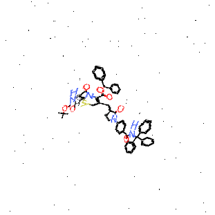 CC(C)(C)OC(=O)N[C@@H]1C(=O)N2C(C(=O)OC(c3ccccc3)c3ccccc3)=C(C=C3CCN(c4ccc(C(=O)NC(c5ccccc5)(c5ccccc5)c5ccccc5)cc4)C3=O)CS[C@H]12